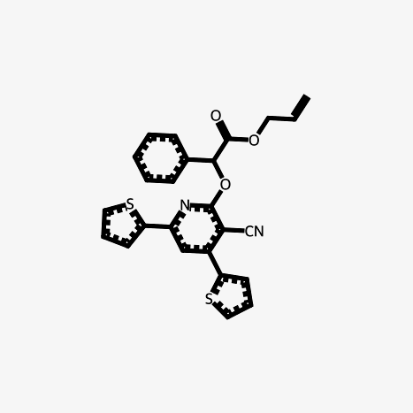 C=CCOC(=O)C(Oc1nc(-c2cccs2)cc(-c2cccs2)c1C#N)c1ccccc1